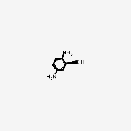 C#Cc1cc(N)ccc1N